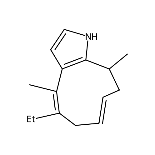 CC/C1=C(\C)c2cc[nH]c2C(C)C/C=C/C1